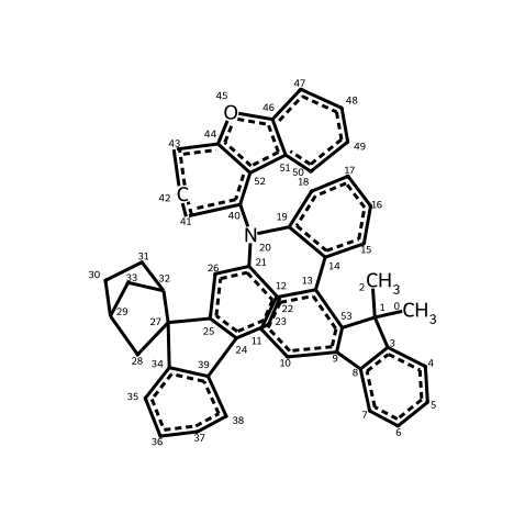 CC1(C)c2ccccc2-c2cccc(-c3ccccc3N(c3ccc4c(c3)C3(CC5CCC3C5)c3ccccc3-4)c3cccc4oc5ccccc5c34)c21